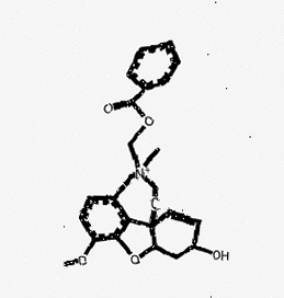 COc1ccc2c3c1OC1CC(O)C=CC31CC[N+](C)(COC(=O)c1ccccc1)C2